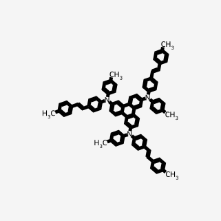 Cc1ccc(/C=C/c2ccc(N(c3ccc(C)cc3)c3ccc4c(c3)c3ccc(N(c5ccc(C)cc5)c5ccc(/C=C/c6ccc(C)cc6)cc5)cc3c3ccc(N(c5ccc(C)cc5)c5ccc(/C=C/c6ccc(C)cc6)cc5)cc43)cc2)cc1